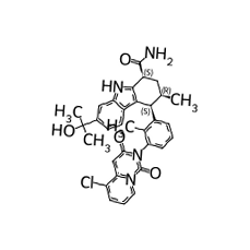 Cc1c([C@H]2c3c([nH]c4cc(C(C)(C)O)ccc34)[C@@H](C(N)=O)C[C@H]2C)cccc1-n1c(=O)cc2c(Cl)cccn2c1=O